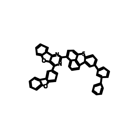 c1ccc(-c2cccc(-c3ccc4c(c3)-c3cccc5c(-c6nc(-c7ccc8oc9ccccc9c8c7)c7oc8ccccc8c7n6)ccc(c35)S4)c2)cc1